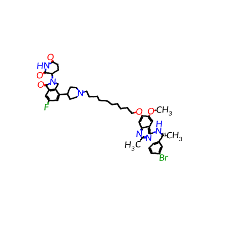 COc1cc2c(N[C@H](C)c3cccc(Br)c3)nc(C)nc2cc1OCCCCCCCCCCN1CCC(c2cc(F)cc3c2CN(C2CCC(=O)NC2=O)C3=O)CC1